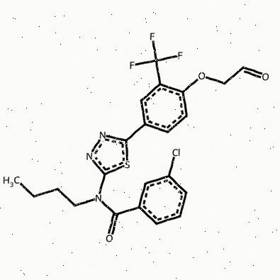 CCCCN(C(=O)c1cccc(Cl)c1)c1nnc(-c2ccc(OCC=O)c(C(F)(F)F)c2)s1